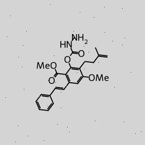 C=C(C)CCc1c(OC)cc(C=Cc2ccccc2)c(C(=O)OC)c1OC(=O)NN